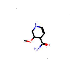 COC1CNC=CC1C(N)=O